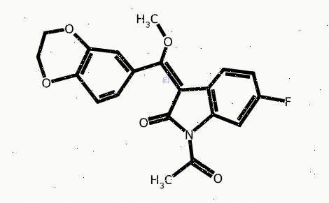 CO/C(=C1/C(=O)N(C(C)=O)c2cc(F)ccc21)c1ccc2c(c1)OCCO2